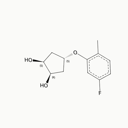 Cc1ccc(F)cc1O[C@@H]1C[C@@H](O)[C@@H](O)C1